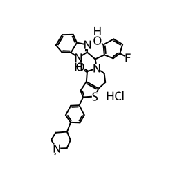 CN1CCC(c2ccc(-c3cc4c(s3)CCN(C(c3nc5ccccc5[nH]3)c3cc(F)ccc3O)C4=O)cc2)CC1.Cl